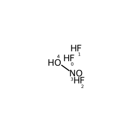 F.F.F.O=NO